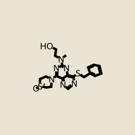 CN(CCO)c1nc(N2CC[S+]([O-])CC2)c2ncnc(SCc3ccccc3)c2n1